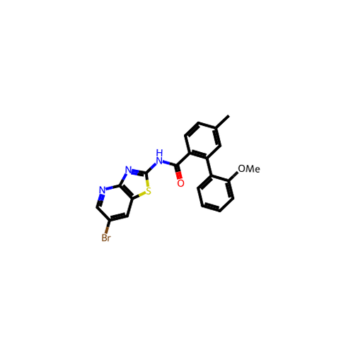 COc1ccccc1-c1cc(C)ccc1C(=O)Nc1nc2ncc(Br)cc2s1